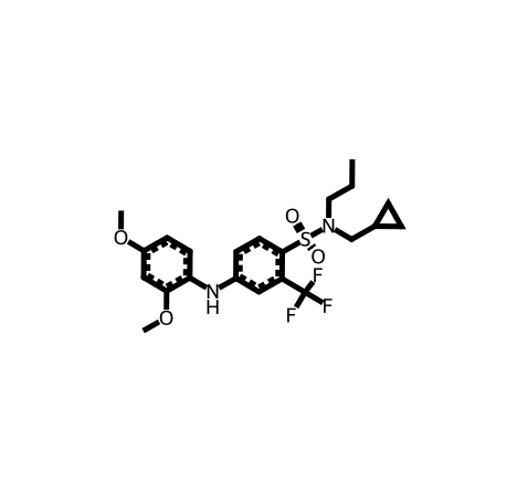 CCCN(CC1CC1)S(=O)(=O)c1ccc(Nc2ccc(OC)cc2OC)cc1C(F)(F)F